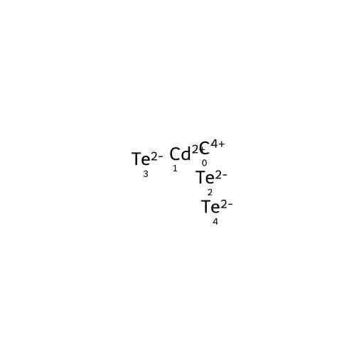 [C+4].[Cd+2].[Te-2].[Te-2].[Te-2]